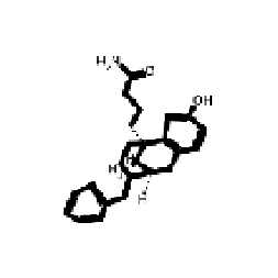 C[C@H]1[C@H]2Cc3ccc(O)cc3[C@]1(CCCC(N)=O)CCC2Cc1ccccc1